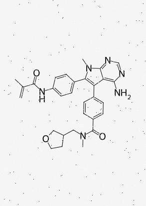 C=C(C)C(=O)Nc1ccc(-c2c(-c3ccc(C(=O)N(C)CC4CCOC4)cc3)c3c(N)ncnc3n2C)cc1